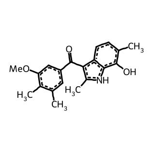 COc1cc(C(=O)c2c(C)[nH]c3c(O)c(C)ccc23)cc(C)c1C